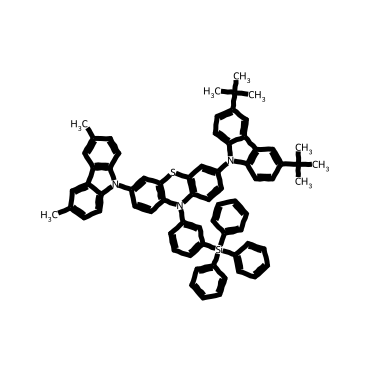 Cc1ccc2c(c1)c1cc(C)ccc1n2-c1ccc2c(c1)Sc1cc(-n3c4ccc(C(C)(C)C)cc4c4cc(C(C)(C)C)ccc43)ccc1N2c1cccc([Si](c2ccccc2)(c2ccccc2)c2ccccc2)c1